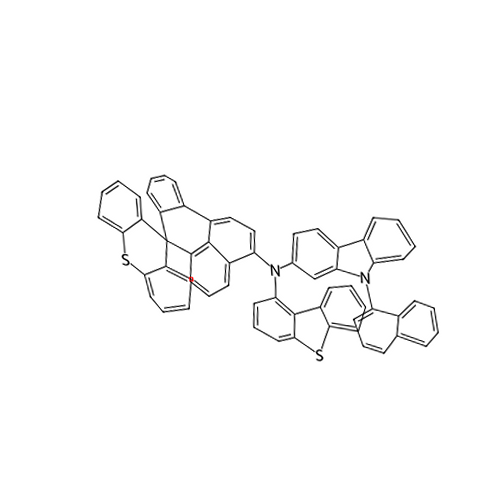 c1ccc2c(c1)Sc1ccccc1C21c2ccccc2-c2ccc(N(c3ccc4c5ccccc5n(-c5cccc6ccccc56)c4c3)c3cccc4sc5ccccc5c34)c3cccc1c23